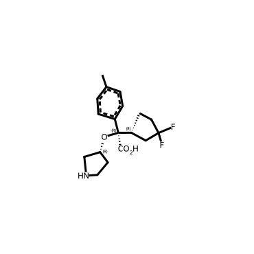 Cc1ccc([C@@](O[C@@H]2CCNC2)(C(=O)O)[C@@H]2CCC(F)(F)C2)cc1